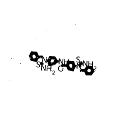 NC(=S)N(Cc1ccccc1)c1ccc(NC(=O)c2ccc(N(Cc3ccccc3)C(N)=S)cc2)cc1